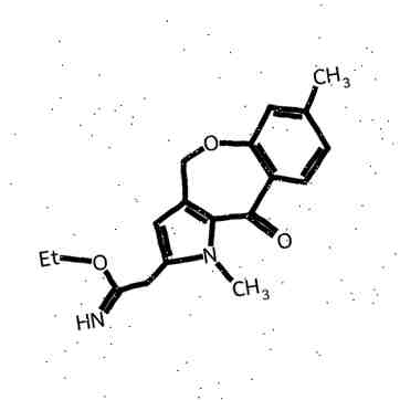 CCOC(=N)Cc1cc2c(n1C)C(=O)c1ccc(C)cc1OC2